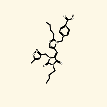 CCCCc1ncc(C=C2C(=O)N(CCCC)C(=O)N2Cc2cc(C)on2)n1Cc1ccc(C(=O)OC)cc1